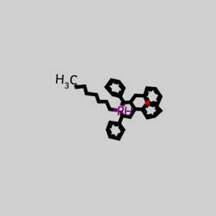 CCCCCCCC[PH]1=C(c2ccccc2)C(Cc2ccccc2)C(c2ccccc2)CC1c1ccccc1